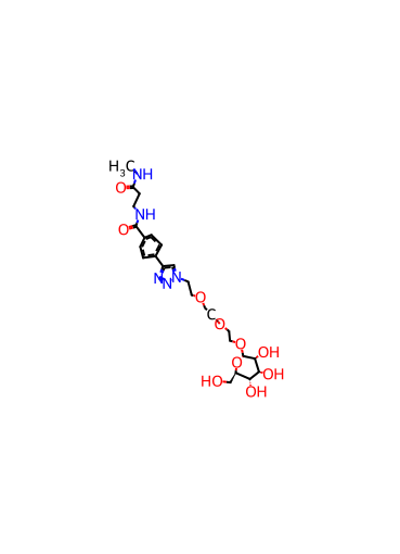 CNC(=O)CCNC(=O)c1ccc(-c2cn(CCOCCOCCOC3O[C@H](CO)[C@@H](O)[C@H](O)[C@@H]3O)nn2)cc1